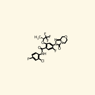 C[C@H](Oc1cc(-n2nc3n(c2=O)CCOC3)c(F)cc1C(=O)Nc1ccc(F)cc1Cl)C(F)(F)F